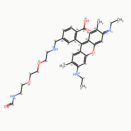 CC/N=c1/cc2oc3cc(NCC)c(C)cc3c(-c3cc(CNCCOCCOCCNC=O)ccc3C(=O)O)c-2cc1C